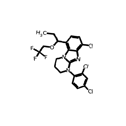 CCC(OCC(F)(F)F)c1ccc(Cl)c2nc3n(c12)CCCN3c1ccc(Cl)cc1Cl